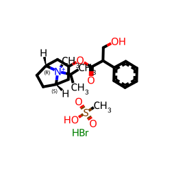 Br.CC(C)[N+]1(C)[C@@H]2CC[C@H]1CC(OC(=O)C(CO)c1ccccc1)C2.CS(=O)(=O)O